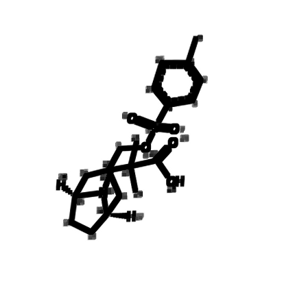 Cc1ccc(S(=O)(=O)OCC2C[C@H]3CC[C@@H](C2)N3CC(C)(C)C(=O)O)cc1